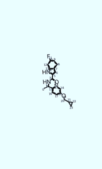 C[C@@H](NC(=O)c1cc2ccc(F)cc2[nH]1)c1ccc(OCC2CC2)cn1